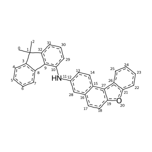 CC1(C)c2ccccc2-c2c(Nc3ccc4c(ccc5oc6ccccc6c54)c3)cccc21